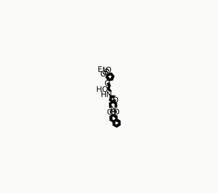 CCS(=O)(=O)c1cccc(OCC(O)CN[C@H]2COC3(CCN(S(=O)(=O)c4ccc5ccccc5c4)CC3)C2)c1